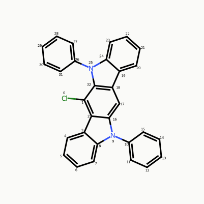 Clc1c2c3ccccc3n(-c3ccccc3)c2cc2c3ccccc3n(-c3ccccc3)c12